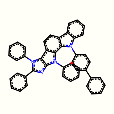 c1ccc(-c2ccc(-n3c4ccccc4c4ccc5c6c(nc(-c7ccccc7)n6-c6ccccc6)n(-c6ccccc6)c5c43)cc2)cc1